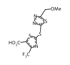 COCc1nnc(Sc2nc(C(F)(F)F)c(C(=O)O)s2)s1